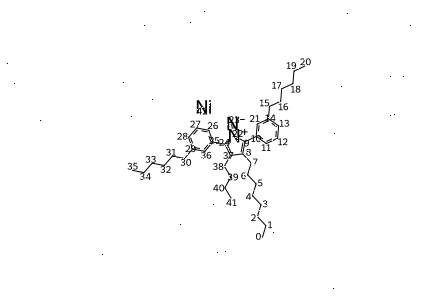 CCCCCCCCC1=C(c2cccc(CCCCCC)c2)[N+](=[N-])C(c2cccc(CCCCCC)c2)=C1CCCC.[Ni]